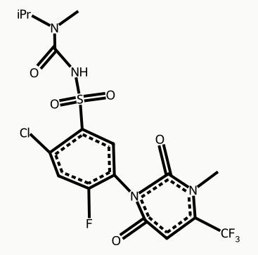 CC(C)N(C)C(=O)NS(=O)(=O)c1cc(-n2c(=O)cc(C(F)(F)F)n(C)c2=O)c(F)cc1Cl